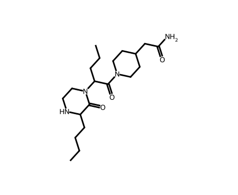 CCCCC1NCCN(C(CCC)C(=O)N2CCC(CC(N)=O)CC2)C1=O